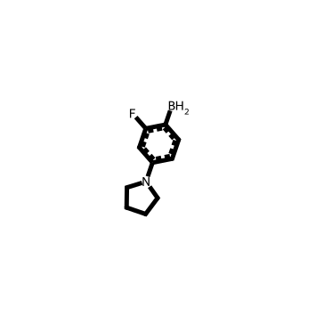 Bc1ccc(N2CCCC2)cc1F